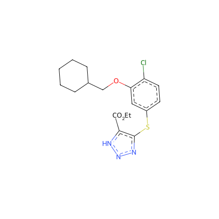 CCOC(=O)c1[nH]nnc1Sc1ccc(Cl)c(OCC2CCCCC2)c1